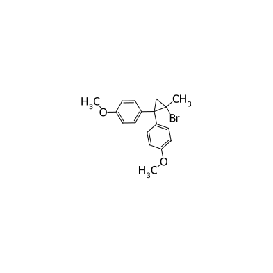 COc1ccc(C2(c3ccc(OC)cc3)CC2(C)Br)cc1